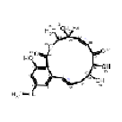 COc1cc(O)c2c(c1)/C=C/C[C@H](O)C(O)C(=O)/C=C\C(C)(F)C(C)OC2=O